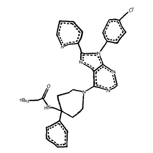 CCCCC(=O)NC1(c2ccccc2)CCN(c2ncnc3c2nc(-c2ccccn2)n3-c2ccc(Cl)cc2)CC1